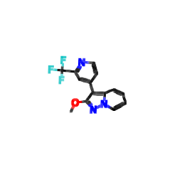 COc1nn2ccccc2c1-c1ccnc(C(F)(F)F)c1